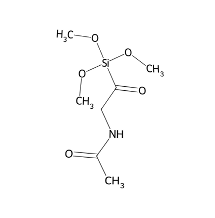 CO[Si](OC)(OC)C(=O)CNC(C)=O